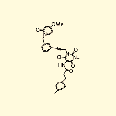 COc1ccn(Cc2cccc(C#CCn3c(Cl)c(NC(=O)CCc4ccc(C)cc4)c(=O)n(C)c3=O)c2)c(=O)c1